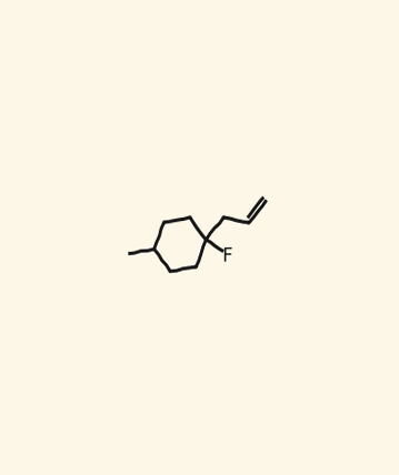 C=CCC1(F)CCC(C)CC1